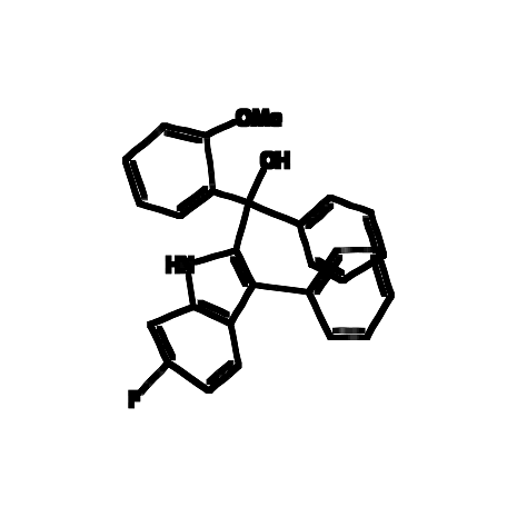 COc1ccccc1C(O)(c1ccccc1)c1[nH]c2cc(F)ccc2c1-c1ccccc1